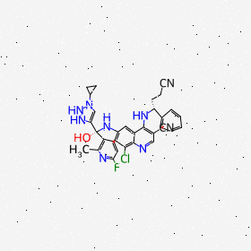 Cc1nc(F)ccc1[C@](O)(Nc1cc(Cl)c2ncc(C#N)c(N[C@H](CCC#N)c3ccccc3)c2c1)C1=CN(C2CC2)NN1